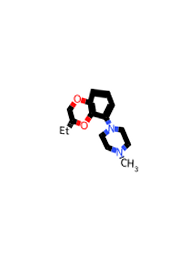 CCC1COc2cccc(N3CCN(C)CC3)c2O1